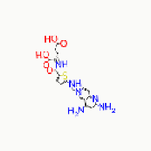 NC1=CC(N)N=C2C=CN(CNc3ccc(C(=O)N[C@@H](CCC(=O)O)C(=O)O)s3)C=C12